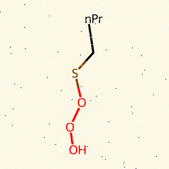 CCCCSOOO